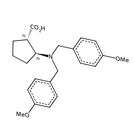 COc1ccc(CN(Cc2ccc(OC)cc2)[C@H]2CCC[C@@H]2C(=O)O)cc1